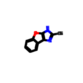 N#Cc1nc2c([nH]1)oc1ccccc12